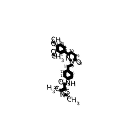 COc1ccc(C2=NN(CCc3ccc(NC(=O)c4sc(C)nc4C)cc3)C(=O)CC2)cc1OC